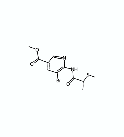 COC(=O)c1cnc(NC(=O)C(C)SC)c(Br)c1